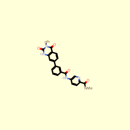 CCCn1c(=O)[nH]c2cc(-c3cccc(C(=O)Nc4ccc(C(=O)NC)nc4)c3)ccc2c1=O